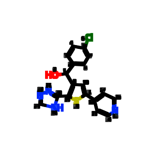 O[C@@H](c1ccc(Cl)cc1)c1cc(-c2ccncc2)sc1-c1nnc[nH]1